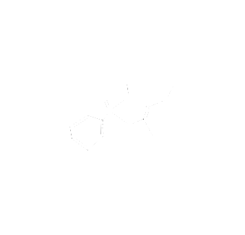 CON=C(C)OP(=S)(OC)c1ccccc1